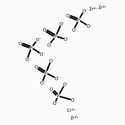 O=P([O-])([O-])[O-].O=P([O-])([O-])[O-].O=P([O-])([O-])[O-].O=P([O-])([O-])[O-].O=P([O-])([O-])[O-].[Cr+3].[Zr+4].[Zr+4].[Zr+4]